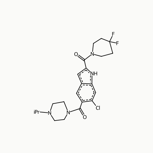 CC(C)N1CCN(C(=O)c2cc3cc(C(=O)N4CCC(F)(F)CC4)[nH]c3cc2Cl)CC1